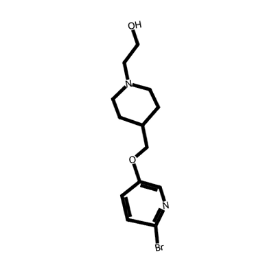 OCCN1CCC(COc2ccc(Br)nc2)CC1